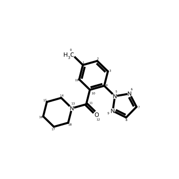 Cc1ccc(-n2nccn2)c(C(=O)N2CCCCC2)c1